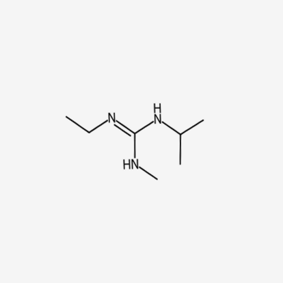 CC/N=C(\NC)NC(C)C